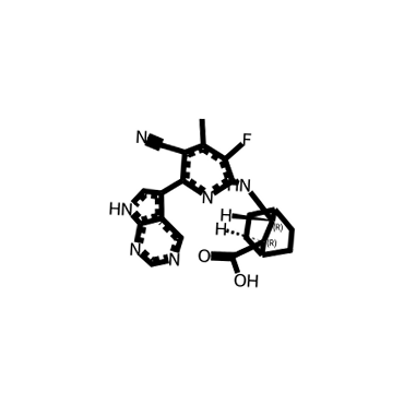 Cc1c(F)c(N[C@@H]2C3CCC(CC3)[C@H]2C(=O)O)nc(-c2c[nH]c3ncncc23)c1C#N